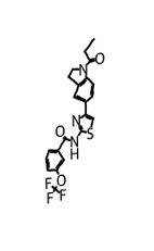 CCC(=O)N1CCc2cc(-c3csc(NC(=O)c4cccc(OC(F)(F)F)c4)n3)ccc21